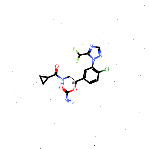 NC(=O)O[C@H](CNC(=O)C1CC1)c1ccc(Cl)c(-n2ncnc2C(F)F)c1